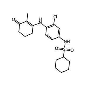 CC1=C(Nc2ccc(NS(=O)(=O)C3CCCCC3)cc2Cl)CCCC1=O